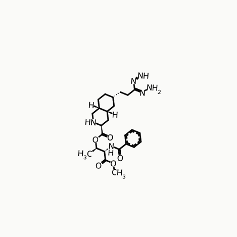 COC(=O)[C@@H](NC(=O)c1ccccc1)[C@@H](C)OC(=O)[C@@H]1C[C@H]2C[C@@H](CC/C(N=N)=N/N)CC[C@H]2CN1